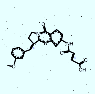 COc1cccc(/C=C2\CCn3c2nc2cc(NC(=O)/C=C/C(=O)O)ccc2c3=O)c1